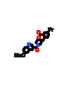 COc1ccc2ncc(C(=O)N3CCC4(CC3)Cc3ccc(C(C)C)cc3C(=O)O4)cc2c1